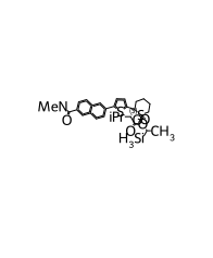 CNC(=O)c1ccc2cc(-c3ccc([C@@]4(C(C(=O)OC(C)[SiH3])C(C)C)CCCCS4(=O)=O)s3)ccc2c1